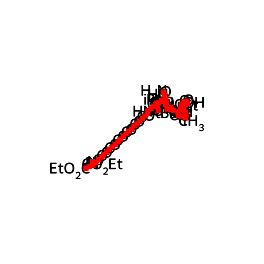 CCOC(=O)C(Cc1cn(CCOCCOCCOCCOCCOCCOCCOCCOCCOCCOCCOCCOCCC(=O)NCCCC[C@H](NC(=O)OC(C)(C)C)C(=O)N[C@H](C(=O)N[C@@H](CCCNC(N)=O)C(=O)Nc2ccc(COC(=O)N[C@H]3CCc4c(C)c(F)cc5nc6c(c3c45)Cn3c-6cc4c(c3=O)COC(=O)[C@]4(O)CC)cc2)C(C)C)nn1)C(=O)OCC